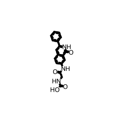 O=C(O)NCC(=O)Nc1ccc2cc(-c3ccccc3)[nH]c(=O)c2c1